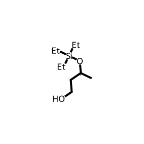 CC[Si](CC)(CC)O[C](C)CCO